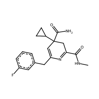 CNC(=O)C1=NC(Cc2cccc(F)c2)=CC(C(N)=O)(C2CC2)C1